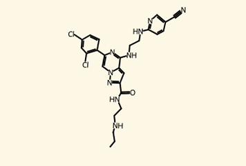 CCCNCCNC(=O)c1cc2c(NCCNc3ccc(C#N)cn3)nc(-c3ccc(Cl)cc3Cl)cn2n1